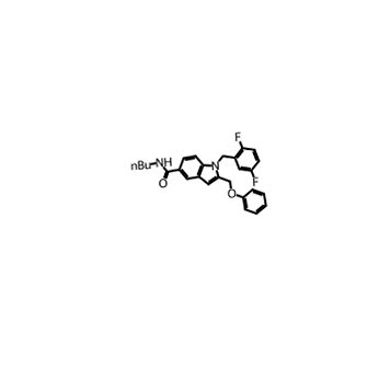 CCCCNC(=O)c1ccc2c(c1)cc(COc1ccccc1)n2Cc1cc(F)ccc1F